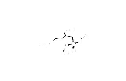 CCCSP(=O)(CC(CCC(=O)O)C(=O)O)SO